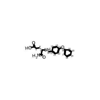 NC(=O)[C@H](CCC(=O)O)NCc1ccc(Oc2ccccc2)cc1